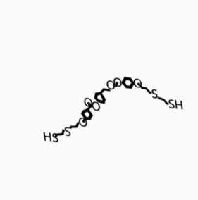 O=C(Oc1ccc(CCOCOc2ccc(OCCCSCCCS)cc2)cc1)c1ccc(OCCCSCCCS)cc1